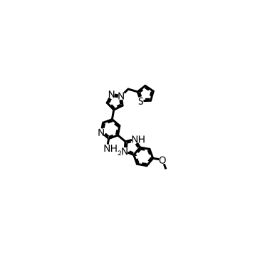 COc1ccc2nc(-c3cc(-c4cnn(Cc5cccs5)c4)cnc3N)[nH]c2c1